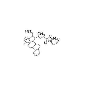 CC(CCC(=O)Nc1cccnn1)C1/C(=C/O)C(=O)C2(C3CC3)CCC3c4ccccc4CCC3C12